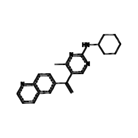 C=C(c1ccc2ncccc2c1)c1cnc(NC2CCCCC2)nc1C